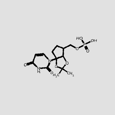 CC1(C)OC2C(COP(=O)(O)O)CCC2(n2ccc(=O)[nH]c2=O)O1